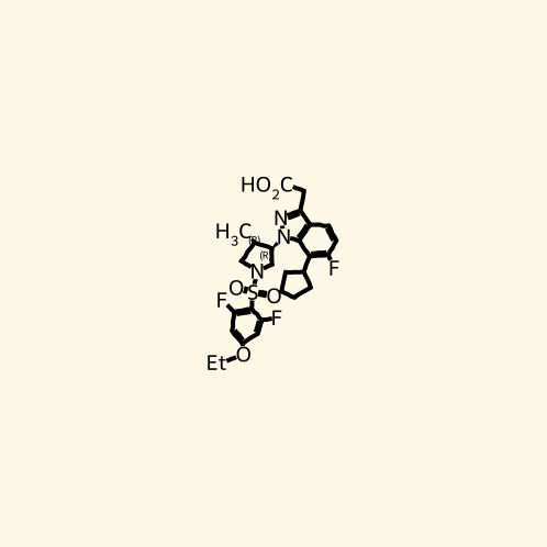 CCOc1cc(F)c(S(=O)(=O)N2C[C@@H](C)[C@@H](n3nc(CC(=O)O)c4ccc(F)c(C5CCCC5)c43)C2)c(F)c1